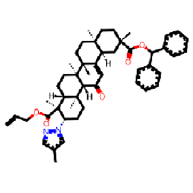 C=CCOC(=O)[C@]1(C)[C@@H](n2cc(C)cn2)CC[C@@]2(C)[C@H]1CC[C@]1(C)[C@@H]2C(=O)C=C2[C@@H]3C[C@@](C)(C(=O)OC(c4ccccc4)c4ccccc4)CC[C@]3(C)CC[C@]21C